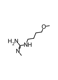 CN=C(N)NCCCCOC